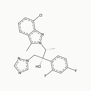 Cc1c2cccc(Cl)c2nn1[C@H](C)[C@](O)(Cn1cncn1)c1ccc(F)cc1F